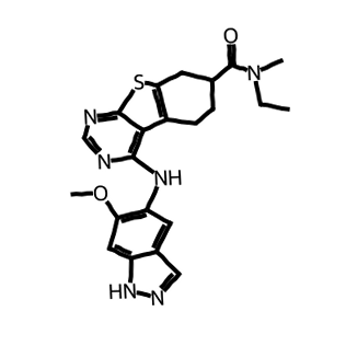 CCN(C)C(=O)C1CCc2c(sc3ncnc(Nc4cc5cn[nH]c5cc4OC)c23)C1